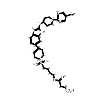 CCCc1cnc(N2CCC(Oc3nc4ccc(C5=CCN(S(=O)(=O)CCCCOC(=O)CCC(=O)O)CC5)cc4s3)CC2)nc1